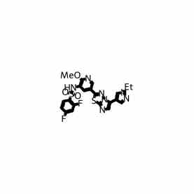 CCn1cc(-c2cnc3sc(-c4cnc(OC)c(NS(=O)(=O)c5ccc(F)cc5F)c4)nn23)cn1